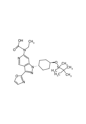 CCN(C(=O)O)c1cc2c(cn1)c(-c1ncco1)nn2[C@H]1CC[C@H](O[Si](C)(C)C(C)(C)C)CC1